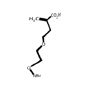 C=C(CCOCCOCCCC)C(=O)O